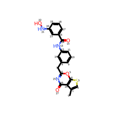 Cc1csc2oc(Cc3cccc(NC(=O)c4cccc(NO)c4)c3)nc(=O)c12